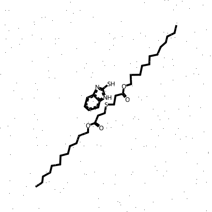 CCCCCCCCCCCCOC(=O)CCSCCC(=O)OCCCCCCCCCCCC.Sc1nc2ccccc2[nH]1